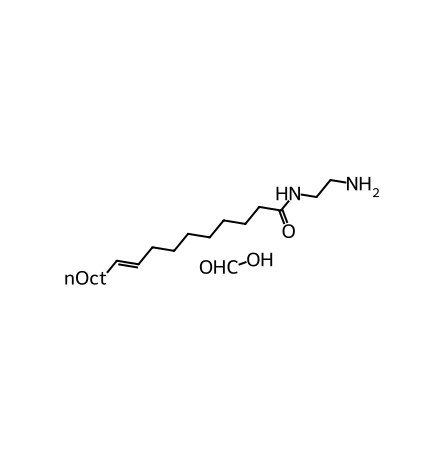 CCCCCCCCC=CCCCCCCCC(=O)NCCN.O=CO